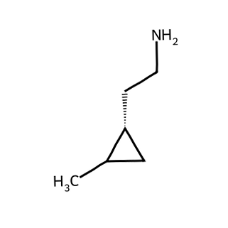 CC1C[C@H]1CCN